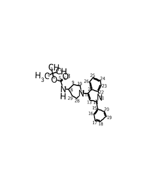 CC(C)(C)OC(=O)NC1CCN(c2cc(-c3ccccc3)nc3ccccc23)CC1